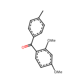 COc1ccc(C(=O)c2ccc(C)cc2)c(OC)c1